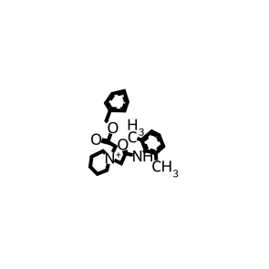 Cc1cccc(C)c1NC(=O)C[N+]1(CC(=O)OCc2ccccc2)CCCCC1